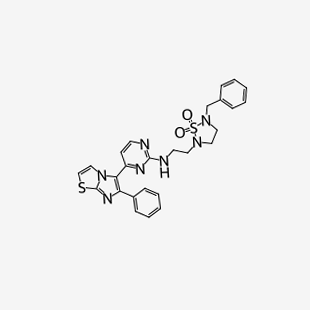 O=S1(=O)N(CCNc2nccc(-c3c(-c4ccccc4)nc4sccn34)n2)CCN1Cc1ccccc1